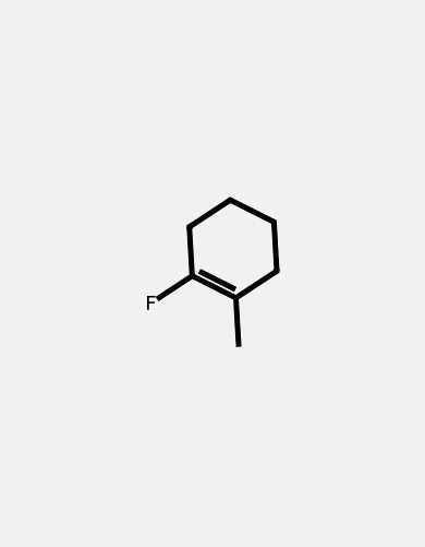 CC1=C(F)CCCC1